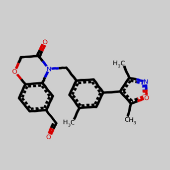 Cc1cc(CN2C(=O)COc3ccc(C=O)cc32)cc(-c2c(C)noc2C)c1